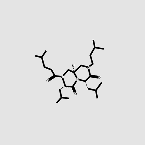 CC(C)CCC(=O)N1C[C@H]2CN(CCC(C)C)C(=O)[C@H](CC(C)C)N2C(=O)[C@@H]1CC(C)C